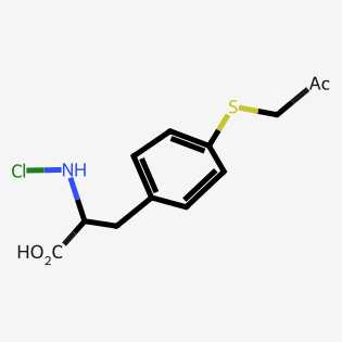 CC(=O)CSc1ccc(CC(NCl)C(=O)O)cc1